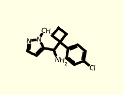 Cn1nccc1C(N)C1(c2ccc(Cl)cc2)CCC1